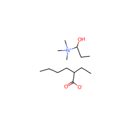 CCC(O)[N+](C)(C)C.CCCCC(CC)C(=O)[O-]